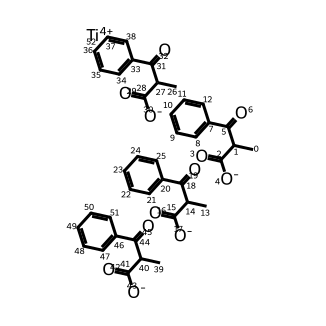 CC(C(=O)[O-])C(=O)c1ccccc1.CC(C(=O)[O-])C(=O)c1ccccc1.CC(C(=O)[O-])C(=O)c1ccccc1.CC(C(=O)[O-])C(=O)c1ccccc1.[Ti+4]